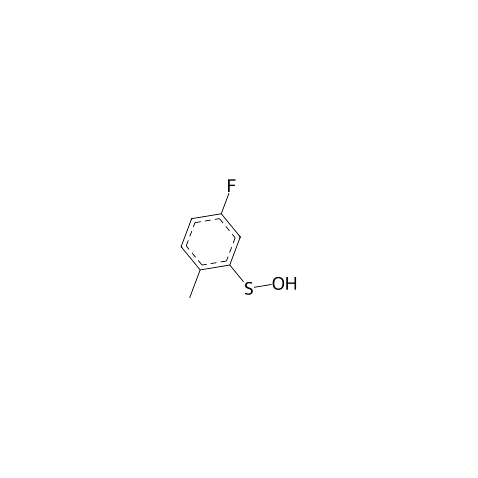 Cc1ccc(F)cc1SO